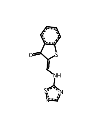 O=C1/C(=C/Nc2ncns2)Sc2ccccc21